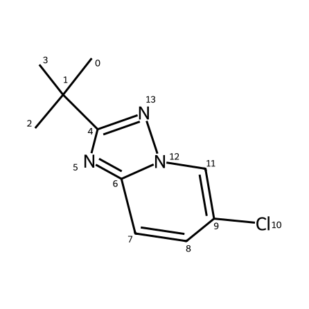 CC(C)(C)c1nc2ccc(Cl)cn2n1